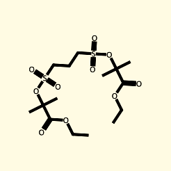 CCOC(=O)C(C)(C)OS(=O)(=O)CCCS(=O)(=O)OC(C)(C)C(=O)OCC